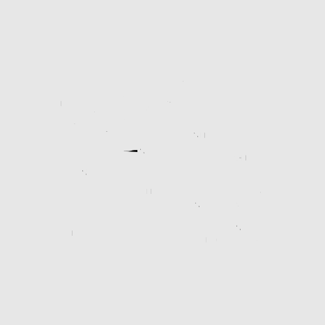 Cc1cc(F)cnc1[C@H](Nc1c(Nc2ccnc(C(=O)N(C)C)c2O)c(=O)c1=O)C1(C)CC(F)(F)C1